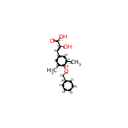 Cc1cc(/C=C(\O)C(=O)O)cc(C)c1OCc1ccccc1